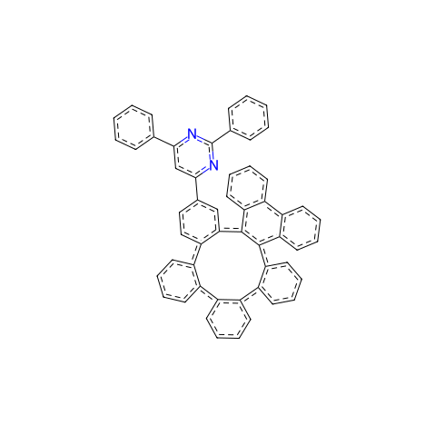 c1ccc(-c2cc(-c3ccc4c5ccccc5c5ccccc5c5ccccc5c5c6ccccc6c6ccccc6c5c4c3)nc(-c3ccccc3)n2)cc1